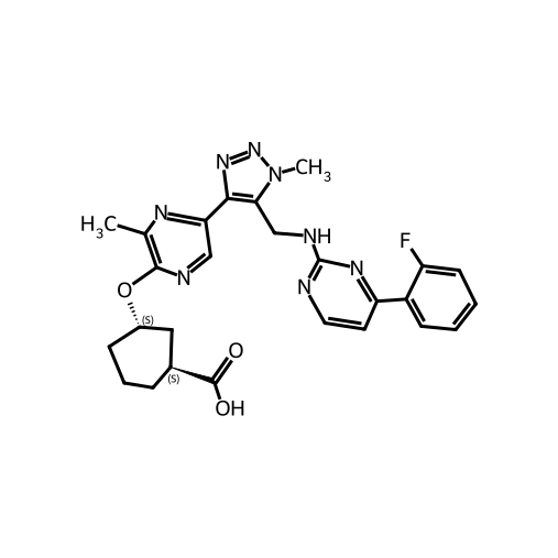 Cc1nc(-c2nnn(C)c2CNc2nccc(-c3ccccc3F)n2)cnc1O[C@H]1CCC[C@H](C(=O)O)C1